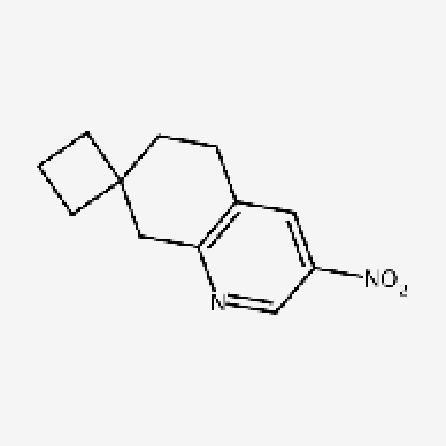 O=[N+]([O-])c1cnc2c(c1)CCC1(CCC1)C2